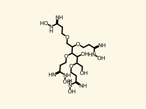 N=C(CCOCC(OCCC(=N)NO)C(OCCC(=N)NO)C(O)C(CO)OCCC(=N)NO)NO